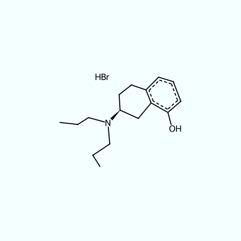 Br.CCCN(CCC)[C@H]1CCc2cccc(O)c2C1